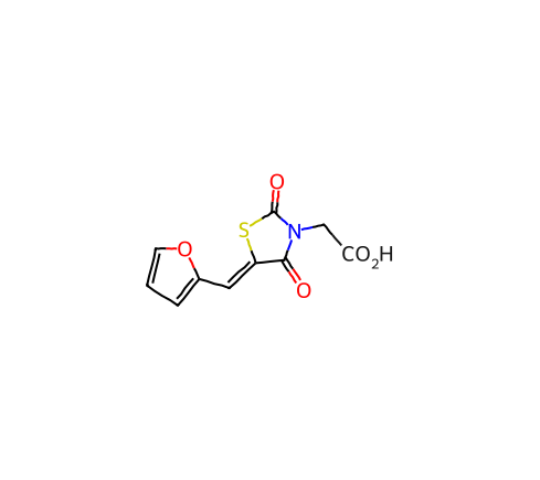 O=C(O)CN1C(=O)SC(=Cc2ccco2)C1=O